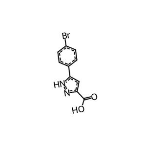 O=C(O)c1cc(-c2ccc(Br)cc2)[nH]n1